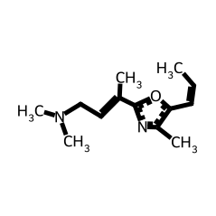 C/C=C\c1oc(/C(C)=C/CN(C)C)nc1C